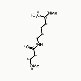 CNC(CCCCNC(=O)CCOC)C(=O)O